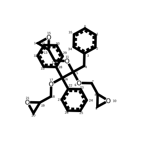 c1ccc(CC(OCC2CO2)(OCC2CO2)C(OCC2CO2)(c2ccccc2)c2ccccc2)cc1